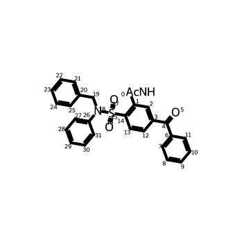 CC(=O)Nc1cc(C(=O)c2ccccc2)ccc1S(=O)(=O)N(Cc1ccccc1)c1ccccc1